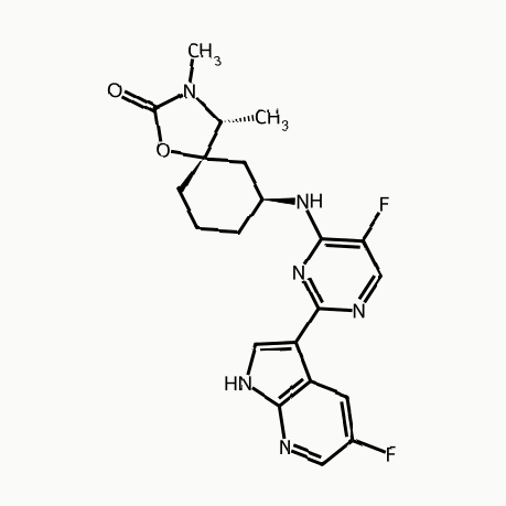 C[C@H]1N(C)C(=O)O[C@]12CCC[C@H](Nc1nc(-c3c[nH]c4ncc(F)cc34)ncc1F)C2